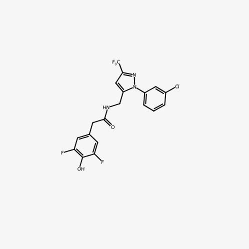 O=C(Cc1cc(F)c(O)c(F)c1)NCc1cc(C(F)(F)F)nn1-c1cccc(Cl)c1